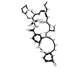 C=CC[C@H](C)[C@H](C[C@H]1CCCO1)S(=O)(=O)NC(=O)c1ccc2c(c1)N(C[C@@H]1CC[C@H]1[C@@H](O)/C=C/CCC)CCCCc1cc(Cl)ccc1CO2